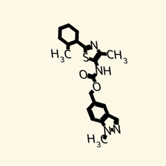 Cc1nc(C2CCCCC2C)sc1NC(=O)OCc1ccc2c(cnn2C)c1